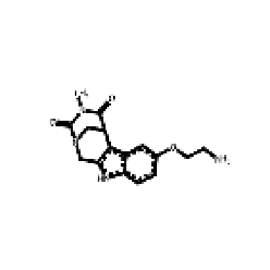 CN1C(=O)C2CN(Cc3[nH]c4ccc(OCCN)cc4c32)C1=O